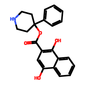 O=C(OC1(c2ccccc2)CCNCC1)c1cc(O)c2ccccc2c1O